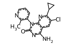 Cc1ncccc1-n1c(=O)nc(N)c2cc(Cl)c(C3CC3)nc21